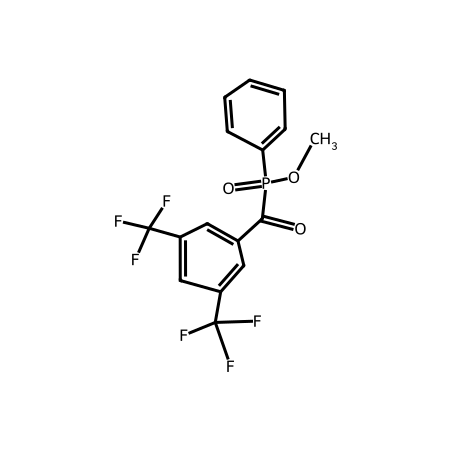 COP(=O)(C(=O)c1cc(C(F)(F)F)cc(C(F)(F)F)c1)c1ccccc1